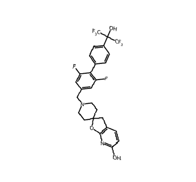 Oc1ccc2c(n1)OC1(CCN(Cc3cc(F)c(-c4ccc(C(O)(C(F)(F)F)C(F)(F)F)cc4)c(F)c3)CC1)C2